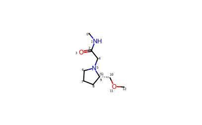 CNC(=O)CN1CCC[C@H]1COC